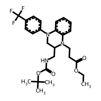 CCOC(=O)CCN1c2ccccc2N(c2ccc(C(F)(F)F)cc2)CC1CNC(=O)OC(C)(C)C